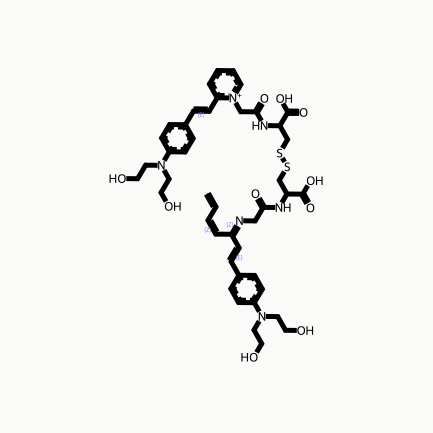 C=C\C=C/C(/C=C/c1ccc(N(CCO)CCO)cc1)=N/CC(=O)NC(CSSCC(NC(=O)C[n+]1ccccc1/C=C/c1ccc(N(CCO)CCO)cc1)C(=O)O)C(=O)O